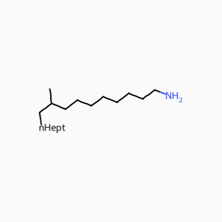 CCCCCCCCC(C)CCCCCCCCN